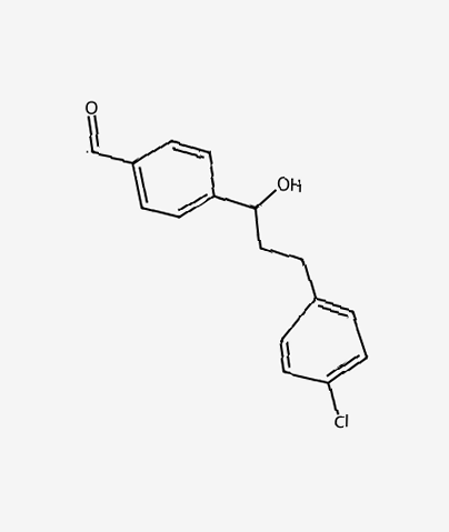 O=[C]c1ccc(C(O)CCc2ccc(Cl)cc2)cc1